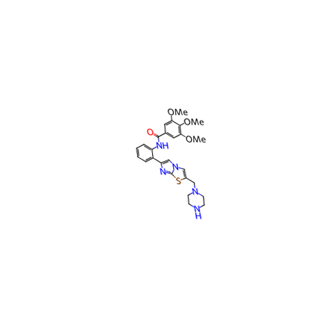 COc1cc(C(=O)Nc2ccccc2-c2cn3cc(CN4CCNCC4)sc3n2)cc(OC)c1OC